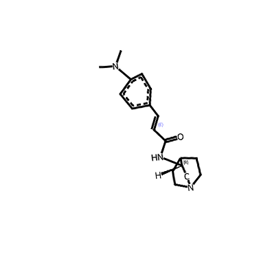 CN(C)c1ccc(/C=C/C(=O)N[C@H]2CN3CCC2CC3)cc1